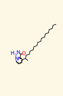 CCCCCCCCCCCCCCCCC(C)c1cccnc1C(N)=O